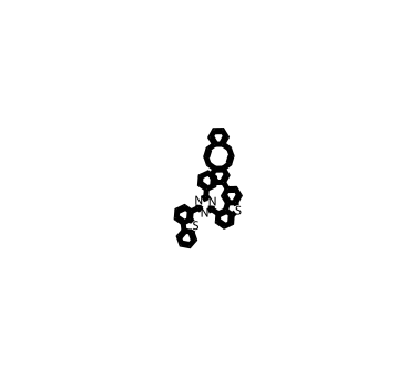 C1=CC(c2nc(-c3cccc4c3sc3ccccc34)nc(-c3cccc4sc5ccc(-c6ccc7c(c6)/C=C\Cc6ccccc6/C=C\C7)cc5c34)n2)=CCC1